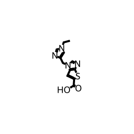 CCn1cnc(Cn2cnc3sc(C(=O)O)cc32)c1